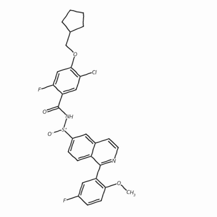 COc1ccc(F)cc1-c1nccc2cc([S+]([O-])NC(=O)c3cc(Cl)c(OCC4CCCC4)cc3F)ccc12